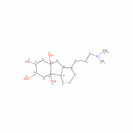 CN(C)CCCC1CCCC2C1CC1(O)CC(O)C(O)CC21O